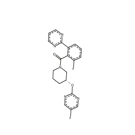 O=C(c1c(F)cccc1-c1ncccn1)N1CCC[C@@H](Oc2ncc(F)cn2)C1